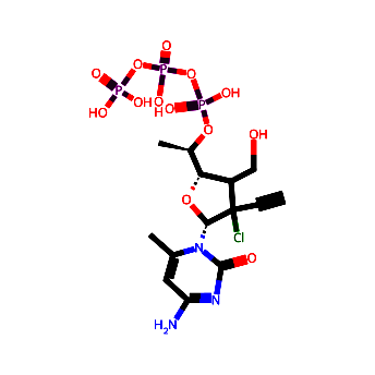 C#CC1(Cl)C(CO)[C@@H]([C@@H](C)OP(=O)(O)OP(=O)(O)OP(=O)(O)O)O[C@H]1n1c(C)cc(N)nc1=O